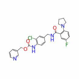 O=C(Nc1ccc(CNC(=O)c2cc(F)ccc2N2CCCC2)cc1Cl)OCc1cccnc1